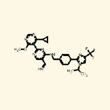 COc1ncnc(C2CC2)c1-c1ncc(C=N)c(NCC2=CCC(c3nc(C(F)(F)F)cn3C(C)C)C=C2)n1